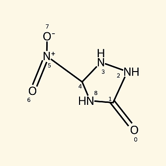 O=C1NNC([N+](=O)[O-])N1